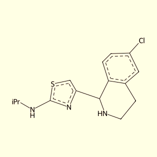 CC(C)Nc1nc(C2NCCc3cc(Cl)ccc32)cs1